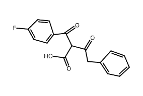 O=C(O)C(C(=O)Cc1ccccc1)C(=O)c1ccc(F)cc1